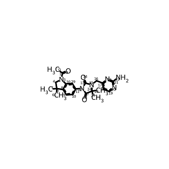 CC(=O)N1CC(C)(C)c2ccc(N3C(=O)N(Cc4ccnc(N)n4)C(C)(C)C3=O)cc21